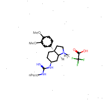 CCCCCNC(=N)N[C@H]1CC[C@@]2(c3ccc(OC)c(OC)c3)CCN(C)[C@H]2C1.O=C(O)C(F)(F)F